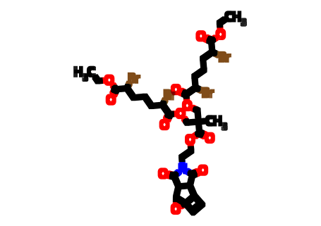 CCOC(=O)C(Br)CCCC(Br)C(=O)OCC(C)(COC(=O)C(Br)CCCC(Br)C(=O)OCC)C(=O)OCCN1C(=O)C2C(C1=O)C1OC13C=CC23